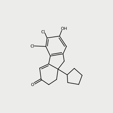 O=C1C=C2c3c(cc(O)c(Cl)c3Cl)CC2(C2CCCC2)CC1